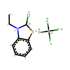 CCN1c2ccccc2SC1Cl.F[B-](F)(F)F